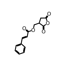 O=C(/C=C/c1ccccc1)OCC1CC(=O)OC1=O